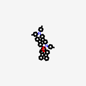 Cc1ccc(N(c2ccc(C)cc2)c2ccc3c(c2)C2(c4ccccc4-c4ccc(C(=O)c5ccc6c(c5)C5(c7ccccc7-c7ccccc75)c5ccccc5-6)cc42)c2cc(N(c4ccc(C)cc4)c4ccc(C)cc4)ccc2-3)cc1